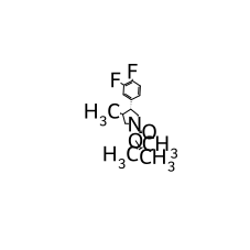 C[C@@H]1CN(C(=O)OC(C)(C)C)C[C@H]1c1ccc(F)c(F)c1